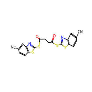 N#Cc1ccc2sc(SC(=O)CCC(=O)Sc3nc4cc(C#N)ccc4s3)nc2c1